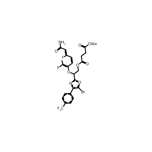 COC(=O)CCC(=O)OCC(OC(/C=C\C(F)=C\C(N)=O)=C(/C)F)c1nc(-c2ccc(C(F)(F)F)cc2)c(Br)o1